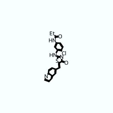 CCC(=O)Nc1ccc(Cl)c(NC2=NC(=O)/C(=C/c3ccc4ncccc4c3)S2)c1